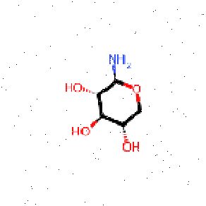 N[C@H]1OC[C@H](O)[C@@H](O)[C@@H]1O